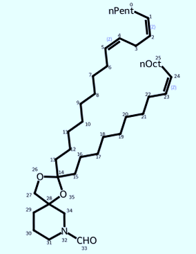 CCCCC/C=C\C/C=C\CCCCCCCCC1(CCCCCCCC/C=C\CCCCCCCC)OCC2(CCCN(C=O)C2)O1